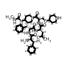 CNC(=O)NC1CCN(C(=O)[C@@H](COC2CCNCC2)NC(=O)[C@@H](CC(C)C)NC(=O)[C@@H](Cc2ccccc2)NC(=O)[C@H](N)Cc2ccccc2)CC1